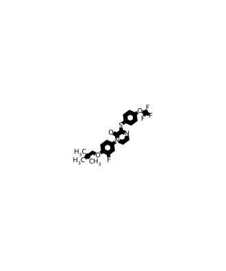 CC(C)(C)COc1ccc(-n2ccnc(Sc3ccc(OC(F)(F)F)cc3)c2=O)cc1F